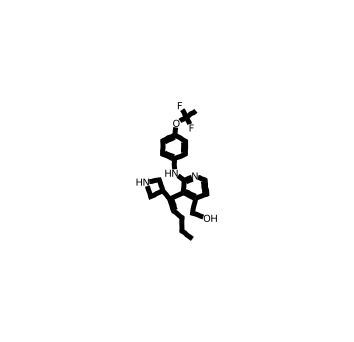 CCC/C=C(\c1c(CO)ccnc1Nc1ccc(OC(C)(F)F)cc1)C1CNC1